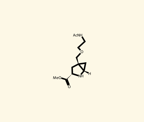 COC(=O)[C@@H]1C[C@]2(COCCNC(C)=O)C[C@@H]2N1